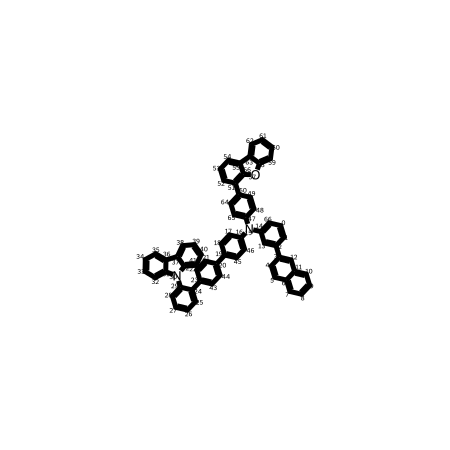 c1cc(-c2ccc3ccccc3c2)cc(N(c2ccc(-c3ccc(-c4ccccc4-n4c5ccccc5c5ccccc54)cc3)cc2)c2ccc(-c3cccc4c3oc3ccccc34)cc2)c1